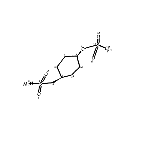 CNS(=O)(=O)C[C@H]1CC[C@@H](OS(=O)(=O)C(F)(F)F)CC1